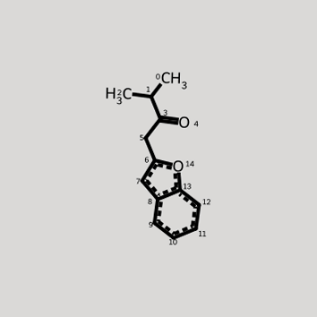 CC(C)C(=O)Cc1cc2ccccc2o1